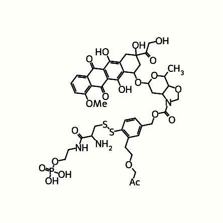 COc1cccc2c1C(=O)c1c(O)c3c(c(O)c1C2=O)CC(O)(C(=O)CO)CC3OC1CC2C(OCN2C(=O)OCc2ccc(SSCC(N)C(=O)NCCOP(=O)(O)O)c(CCOCC(C)=O)c2)C(C)O1